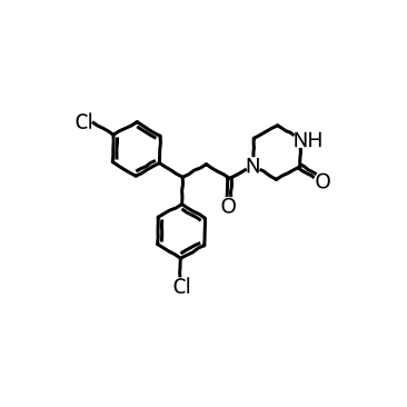 O=C1CN(C(=O)CC(c2ccc(Cl)cc2)c2ccc(Cl)cc2)CCN1